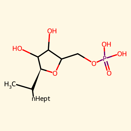 CCCCCCCC(C)[C@@H]1OC(COP(=O)(O)O)C(O)C1O